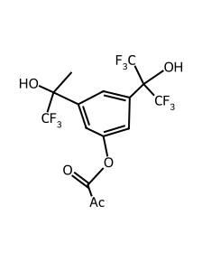 CC(=O)C(=O)Oc1cc(C(C)(O)C(F)(F)F)cc(C(O)(C(F)(F)F)C(F)(F)F)c1